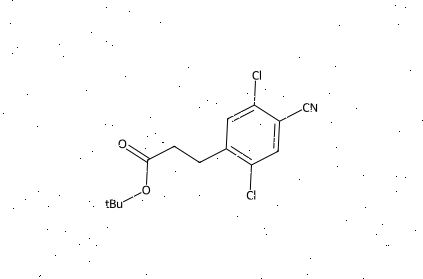 CC(C)(C)OC(=O)CCc1cc(Cl)c(C#N)cc1Cl